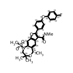 CNC(=O)c1c(-c2ccc(Oc3ccc(F)cc3)cc2)oc2cc3c(cc12)[C@H](C)OC(C)(C)CN3S(C)(=O)=O